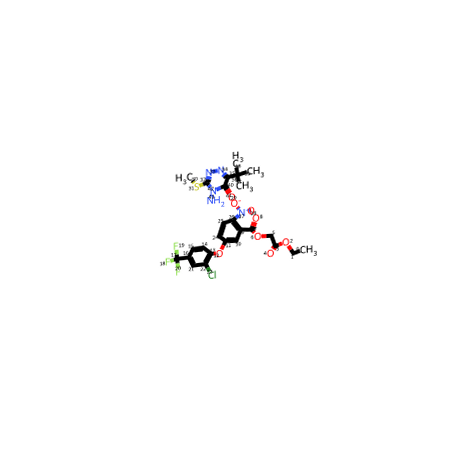 CCOC(=O)COC(=O)c1cc(Oc2ccc(C(F)(F)F)cc2Cl)ccc1[N+](=O)[O-].CSc1nnc(C(C)(C)C)c(=O)n1N